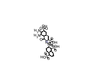 Nc1c(S(=O)(=O)O)cc2c(c1N)C(=O)/C(=N/Nc1ccc3c(S(=O)(=O)O)cccc3c1S(=O)(=O)O)C(S(=O)(=O)O)=C2